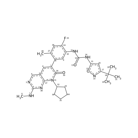 CNc1ncc2cc(-c3cc(NC(=O)Nc4cc(C(C)(C)C)no4)c(F)cc3C)c(=O)n(C3CCCC3)c2n1